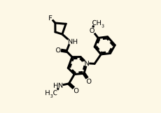 CNC(=O)c1cc(C(=O)NC2CC(F)C2)cn(Cc2cccc(OC)c2)c1=O